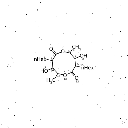 CCCCCCC1C(=O)OC(C)C(O)C(CCCCCC)C(=O)OC(C)C1O